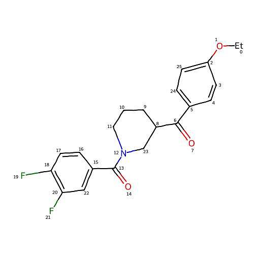 CCOc1ccc(C(=O)C2CCCN(C(=O)c3ccc(F)c(F)c3)C2)cc1